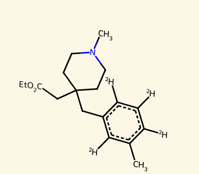 [2H]c1c([2H])c(C)c([2H])c(CC2(CC(=O)OCC)CCN(C)CC2)c1[2H]